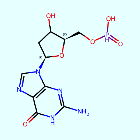 Nc1nc2c(ncn2[C@H]2CC(O)[C@@H](CO[PH](=O)O)O2)c(=O)[nH]1